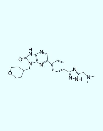 CN(C)Cc1nc(-c2ccc(-c3cnc4[nH]c(=O)n(CC5CCOCC5)c4n3)cc2)n[nH]1